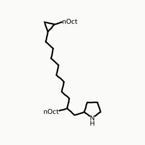 CCCCCCCCC(CCCCCCCCC1CC1CCCCCCCC)CC1CCCN1